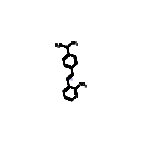 CN(C)c1ccc(/C=C/c2cccnc2[N+](=O)[O-])cc1